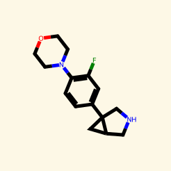 Fc1cc(C23CNCC2C3)ccc1N1CCOCC1